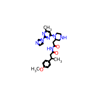 COc1ccc(C(C)CC(=O)NC(=O)CC2CNCCN2c2cc(C)nc(-n3ccnc3)n2)cc1